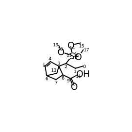 CCC(C12C=CC(CC1C(=O)O)C2)[Si](OC)(OC)OC